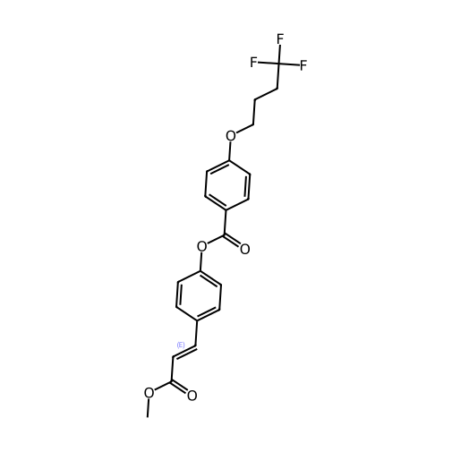 COC(=O)/C=C/c1ccc(OC(=O)c2ccc(OCCCC(F)(F)F)cc2)cc1